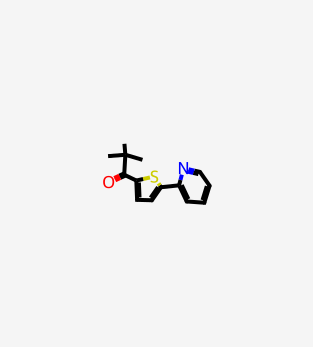 CC(C)(C)C(=O)c1ccc(-c2ccccn2)s1